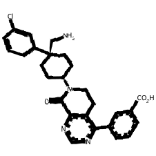 NC[C@]1(C2C=C(Cl)C=CC2)CC[C@H](N2CCc3c(ncnc3-c3cccc(C(=O)O)c3)C2=O)CC1